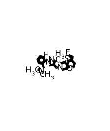 CC1=NN(c2c(F)cccc2CN(C)C)CC1CN1CCC2(CC1)OCCc1cc(F)sc12